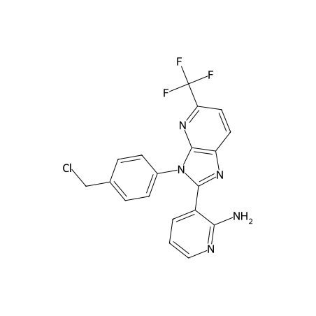 Nc1ncccc1-c1nc2ccc(C(F)(F)F)nc2n1-c1ccc(CCl)cc1